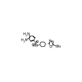 CC(C)(C)c1nnc([C@H]2CC[C@H](NS(=O)(=O)c3ccc(N)c(N)c3)CC2)o1